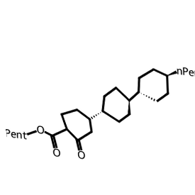 CCCCCOC(=O)C1CCC([C@H]2CC[C@H]([C@H]3CC[C@H](CCCCC)CC3)CC2)CC1=O